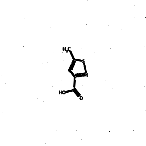 Cc1cc(C(=O)O)ns1